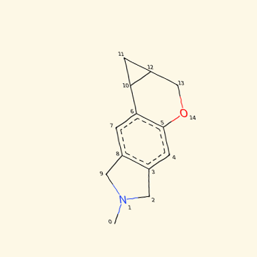 CN1Cc2cc3c(cc2C1)C1CC1CO3